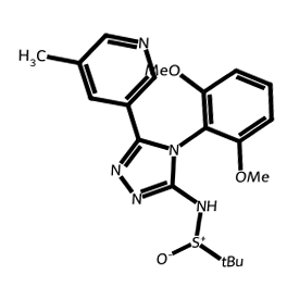 COc1cccc(OC)c1-n1c(N[S+]([O-])C(C)(C)C)nnc1-c1cncc(C)c1